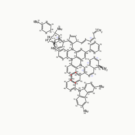 C=C/C=C\C=CC1C=CC(c2ccccc2)=C1N1c2cc(NC(=C)/C=C\C(C)([C@H]3C=CC(C(C)(C)C)=CC3)C(C)(C)C)ccc2B2c3ccc(-c4cccc(-n5c6ccc(C(C)(C)C)cc6c6cc(C(C)(C)C)ccc65)c4)cc3N(/C=C(/C=C\C(C)/C=C\C=C/C=C)c3ccccc3)c3cc(-c4ccccc4)cc1c32